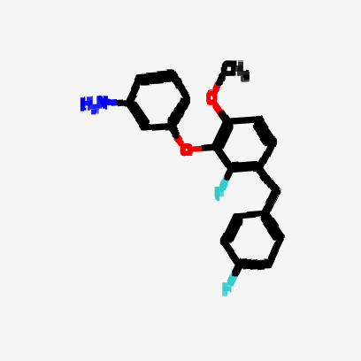 COc1ccc(Cc2ccc(F)cc2)c(F)c1Oc1cccc(N)c1